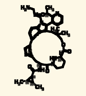 CO[C@@H](C)c1ncccc1-c1c2c3cc(ccc3n1CCCN)-c1csc(n1)C[C@H](NC(=O)[C@H]1[C@H](C)[C@@H]1C)C(=O)N1CCC[C@H](N1)C(=O)OCC(C)(C)C2